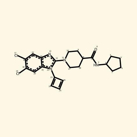 O=C(NC1CCCC1)C1CCN(c2nc3cc(Cl)c(Cl)cc3n2C2=CC=C2)CC1